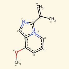 C=C(C)c1ncc2c(OC(F)(F)F)cccn12